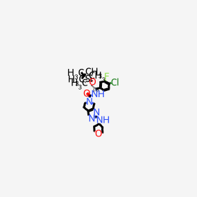 CC(C)(C)[Si](C)(C)OC[C@@H](NC(=O)N1CCc2cnc(NC3CCOCC3)nc2C1)c1ccc(Cl)c(F)c1